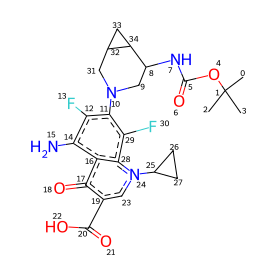 CC(C)(C)OC(=O)NC1CN(c2c(F)c(N)c3c(=O)c(C(=O)O)cn(C4CC4)c3c2F)CC2CC21